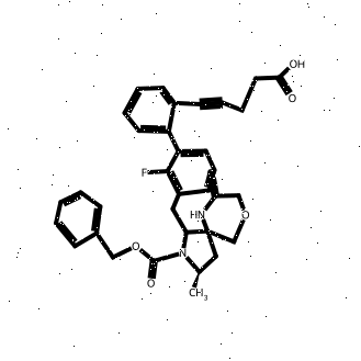 C[C@@H]1CC2(COCC(=O)N2)C(Cc2cccc(-c3ccccc3C#CCCC(=O)O)c2F)N1C(=O)OCc1ccccc1